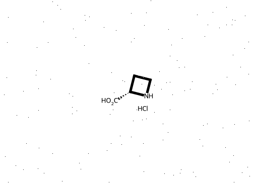 Cl.O=C(O)[C@@H]1CCN1